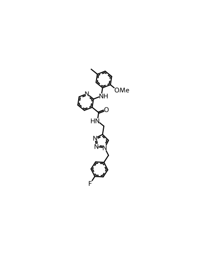 COc1ccc(C)cc1Nc1ncccc1C(=O)NCc1cn(Cc2ccc(F)cc2)nn1